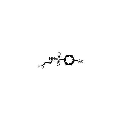 CC(=O)c1ccc(S(=O)(=O)NCCO)cc1